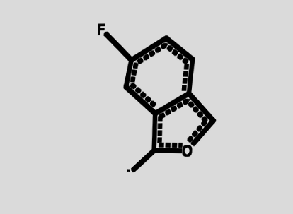 [CH2]c1occ2ccc(F)cc12